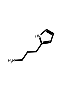 NCCCc1ccc[nH]1